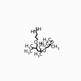 COC(C)(C)CCOC(C)(C)CC(COCCCNS)C(C)C